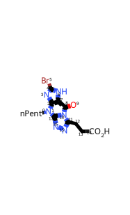 CCCCCn1c2nc(Br)[nH]c2c(=O)n2c(CCC(=O)O)nnc12